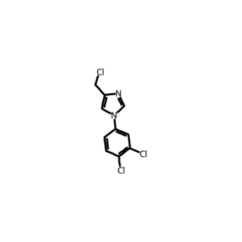 ClCc1cn(-c2ccc(Cl)c(Cl)c2)cn1